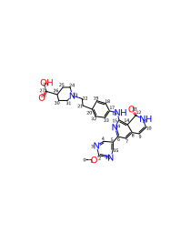 COc1ncc(-c2cc3cc[nH]c(=O)c3c(Nc3ccc(CCN4CCC(C(=O)O)CC4)cc3)n2)cn1